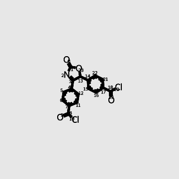 O=C1N=C(c2ccc(C(=O)Cl)cc2)C(c2ccc(C(=O)Cl)cc2)O1